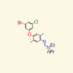 CCCN(/C=N/c1cc(C)c(Oc2cc(Cl)cc(Br)c2)cc1C)CC